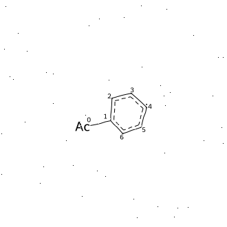 CC(=O)c1cc[c]cc1